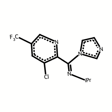 CC(C)N=C(c1ncc(C(F)(F)F)cc1Cl)n1ccnc1